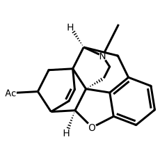 CC(=O)C1CC23C=CC1[C@@H]1Oc4cccc5c4[C@@]12CCN(C)[C@@H]3C5